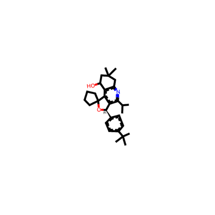 CC(C)c1nc2c(c3c1[C@@H](c1ccc(C(C)(C)C)cc1)OC31CCCC1)C(O)CC(C)(C)C2